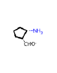 N[C@H]1CCC[C@H]1[C]=O